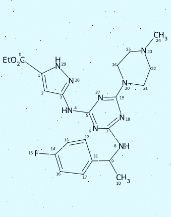 CCOC(=O)c1cc(Nc2nc(NC(C)c3ccc(F)cc3)nc(N3CCN(C)CC3)n2)n[nH]1